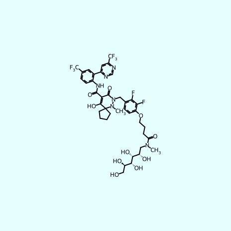 CN(C[C@H](O)[C@@H](O)[C@H](O)[C@H](O)CO)C(=O)CCCOc1ccc(CN2C(=O)C(C(=O)Nc3ccc(C(F)(F)F)cc3-c3cc(C(F)(F)F)ncn3)=C(O)C3(CCCC3)N2C)c(F)c1F